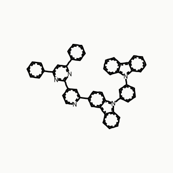 c1ccc(-c2cc(-c3ccccc3)nc(-c3ccnc(-c4ccc5c(c4)c4ccccc4n5-c4cccc(-n5c6ccccc6c6ccccc65)c4)c3)n2)cc1